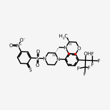 C[C@H]1COCCN1C[C@H]1CN(S(=O)(=O)C2=CC([N+](=O)[O-])=CCC2=S)CCN1c1ccc(C(O)(C(F)(F)F)C(F)(F)F)cc1